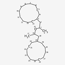 CC(CC1CCCCCCCCCCC1)OC(C)CC1CCCCCCCCCCC1